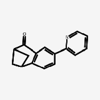 O=C1c2cc(-c3ccccn3)ccc2C2CC1C2